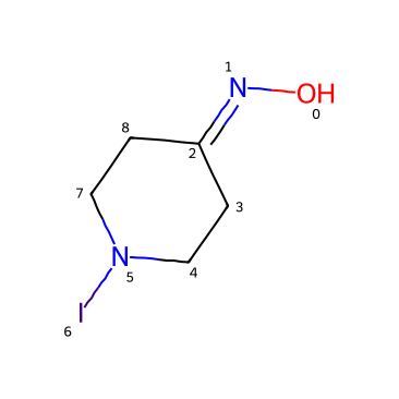 ON=C1CCN(I)CC1